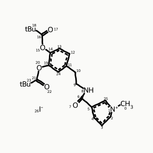 C[n+]1cccc(C(=O)NCCc2ccc(OC(=O)C(C)(C)C)c(OC(=O)C(C)(C)C)c2)c1.[I-]